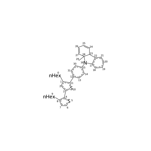 CCCCCCc1cc(-c2sccc2CCCCCC)sc1-c1ccc(N2c3ccccc3C3C=CC=CC32C)cc1